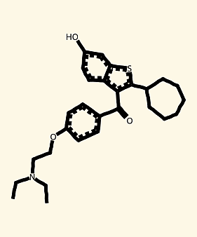 CCN(CC)CCOc1ccc(C(=O)c2c(C3CCCCCC3)sc3cc(O)ccc23)cc1